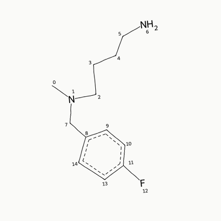 CN(CCCCN)Cc1ccc(F)cc1